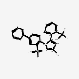 CS(=O)(=O)c1cc(-c2ccccc2)ccc1-n1cc(I)nc1-c1ccccc1C(F)(F)F